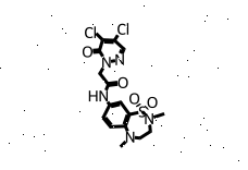 CN1CCN(C)S(=O)(=O)c2cc(NC(=O)Cn3ncc(Cl)c(Cl)c3=O)ccc21